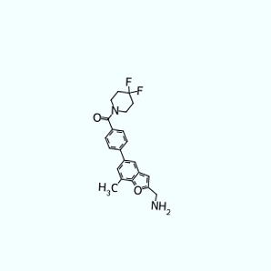 Cc1cc(-c2ccc(C(=O)N3CCC(F)(F)CC3)cc2)cc2cc(CN)oc12